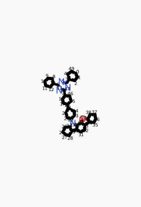 c1ccc(-c2nc(-c3ccccc3)nc(-c3ccc(-c4ccc(-n5c6ccccc6c6ccc7c8ccccc8oc7c65)cc4)cc3)n2)cc1